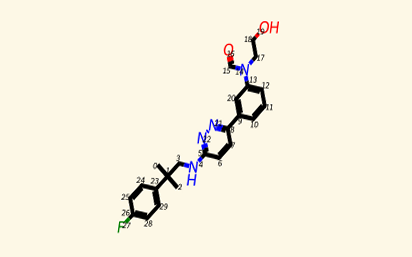 CC(C)(CNc1ccc(-c2cccc(N(C=O)CCO)c2)nn1)c1ccc(F)cc1